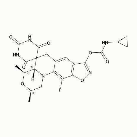 C[C@@H]1CN2c3c(cc4c(OC(=O)NC5CC5)noc4c3F)CC3(C(=O)NC(=O)NC3=O)[C@H]2[C@H](C)O1